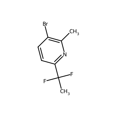 Cc1nc(C(C)(F)F)ccc1Br